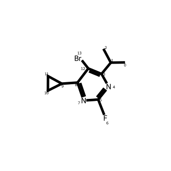 CC(C)c1nc(F)nc(C2CC2)c1Br